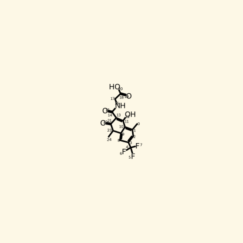 Cc1cc(C(F)(F)F)cc2c1C(O)=C(C(=O)NCC(=O)O)C(=O)C2C